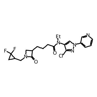 CCN(C(=O)CCCC1CN(CC2CC2(F)F)C1=O)c1cn(-c2cccnc2)nc1Cl